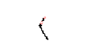 CCCCCCCCCCC(C)(C)COCCC=O